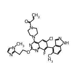 C=CC(=O)N1CCN(c2nc(OCCc3nccn3C)nc3c(F)c(-c4c(C)ccc5[nH]ncc45)c(Cl)cc23)CC1